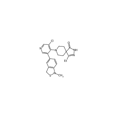 CCC1=NNC(=O)C12CCN(c1c(Cl)cncc1-c1ccc3c(c1)CSN3C)CC2